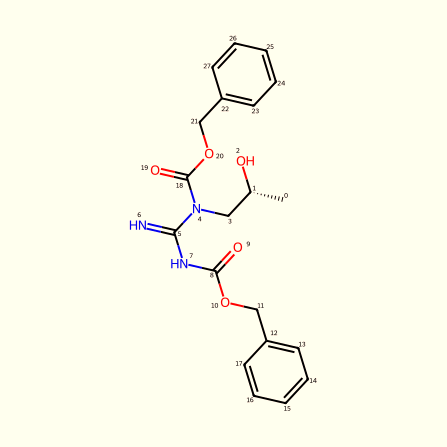 C[C@@H](O)CN(C(=N)NC(=O)OCc1ccccc1)C(=O)OCc1ccccc1